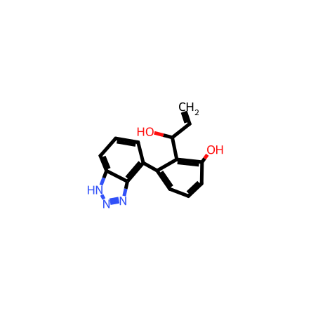 C=CC(O)c1c(O)cccc1-c1cccc2[nH]nnc12